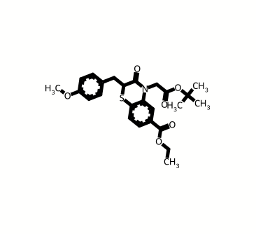 CCOC(=O)c1ccc2c(c1)N(CC(=O)OC(C)(C)C)C(=O)C(Cc1ccc(OC)cc1)S2